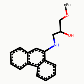 CCCCOCC(O)CNc1cc2ccccc2c2ccccc12